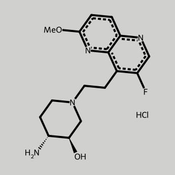 COc1ccc2ncc(F)c(CCN3CC[C@@H](N)[C@H](O)C3)c2n1.Cl